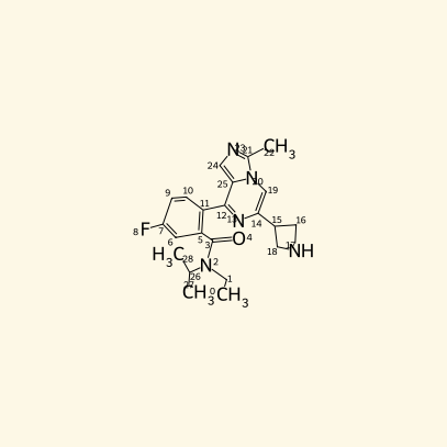 CCN(C(=O)c1cc(F)ccc1-c1nc(C2CNC2)cn2c(C)ncc12)C(C)C